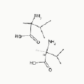 CC(C)C(C)(N)C(=O)O.CC(C)[C@](C)(N)C(=O)O